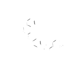 CC/C=C\C(CNC)=C(\C)S(=O)(=O)c1ccc(NC(=O)NC(C)c2ccccc2)cc1